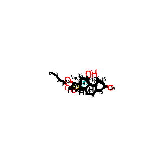 CCCC1O[C@@H]2C[C@H]3[C@@H]4CCC5=CC(=O)C=C[C@]5(C)[C@]4(F)[C@@H](O)C[C@]3(C)[C@]2([S+](C)[O-])O1